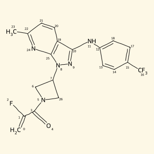 C=C(F)C(=O)N1CC(n2nc(Nc3ccc(C(F)(F)F)cc3)c3ccc(C)nc32)C1